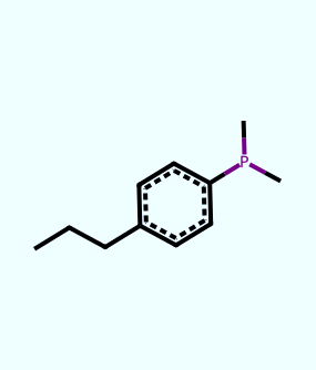 CCCc1ccc(P(C)C)cc1